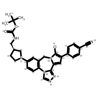 CC(C)(C)OC(=O)NC[C@@H]1CCN(c2ccc3c(c2)Cn2c(cc(-c4ccc(C#N)cc4)c2Cl)-c2nncn2-3)C1